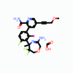 COCC#Cc1cnc(C(N)=O)c(-c2ccc(F)c(C3(C)N=C(N)COCC3(F)F)c2I)c1.O=CO